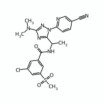 CC(NC(=O)c1cc(Cl)cc(S(C)(=O)=O)c1)c1nc(N(C)C)nn1-c1ccc(C#N)cn1